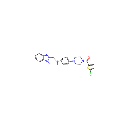 Cn1c(CNc2ccc(N3CCN(C(=O)c4ccc(Cl)s4)CC3)cc2)nc2ccccc21